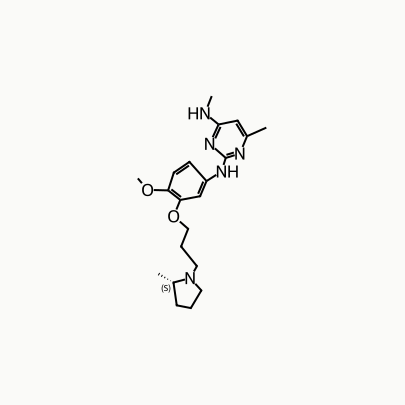 CNc1cc(C)nc(Nc2ccc(OC)c(OCCCN3CCC[C@@H]3C)c2)n1